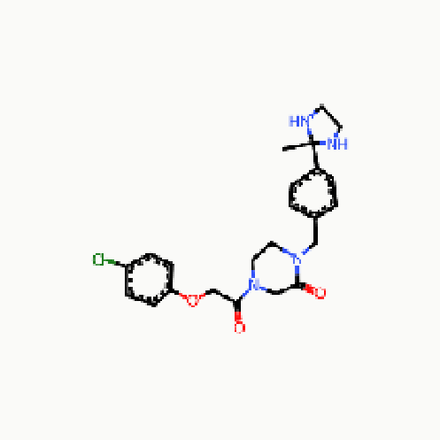 CC1(c2ccc(CN3CCN(C(=O)COc4ccc(Cl)cc4)CC3=O)cc2)NCCN1